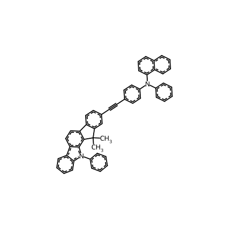 CC1(C)c2cc(C#Cc3ccc(N(c4ccccc4)c4cccc5ccccc45)cc3)ccc2-c2ccc3c4ccccc4n(-c4ccccc4)c3c21